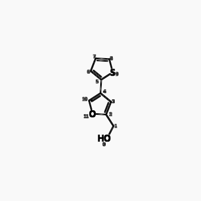 OCc1cc(-c2cccs2)[c]o1